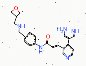 N=C/C(=C\N)c1ccncc1/C=C/C(=O)Nc1ccc(CNCC2COC2)cc1